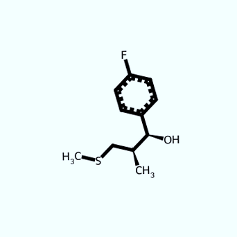 CSC[C@H](C)[C@H](O)c1ccc(F)cc1